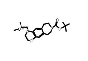 CO[C@@H](C)CN1CCOc2cc3c(cc21)CCN(C(=O)OC(C)(C)C)CC3